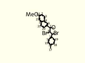 COc1ccc2cc(C(=O)C(Br)C(Br)c3ccc(C)cc3)ccc2c1